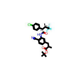 CC(Cc1ccc(C#N)c(NC(=O)[C@H](c2ccc(Cl)cc2)[C@@H](C)C(F)(F)F)c1)C(=O)OC(C)(C)C